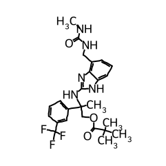 CNC(=O)NCc1cccc2[nH]c(NC(C)(COC(=O)C(C)(C)C)c3cccc(C(F)(F)F)c3)nc12